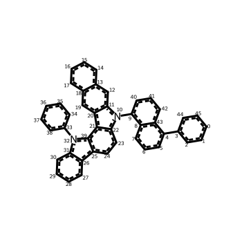 c1ccc(-c2cccc3c(-n4c5cc6ccccc6cc5c5c4ccc4c6ccccc6n(-c6ccccc6)c45)cccc23)cc1